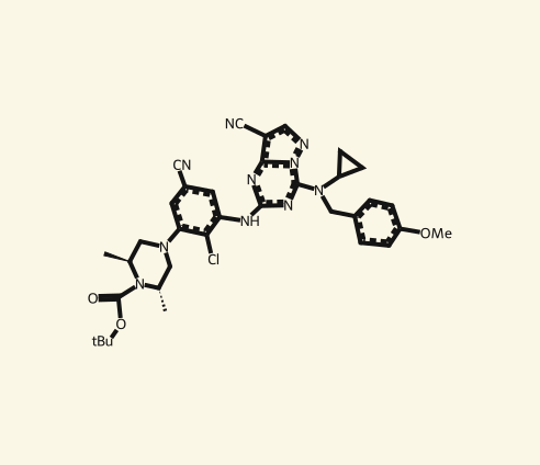 COc1ccc(CN(c2nc(Nc3cc(C#N)cc(N4C[C@H](C)N(C(=O)OC(C)(C)C)[C@@H](C)C4)c3Cl)nc3c(C#N)cnn23)C2CC2)cc1